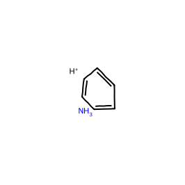 N.[H+].c1ccccc1